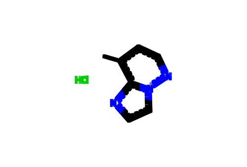 Cc1ccnn2ccnc12.Cl